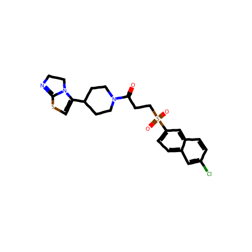 O=C(CCS(=O)(=O)c1ccc2cc(Cl)ccc2c1)N1CCC(C2=CSC3=NCCN23)CC1